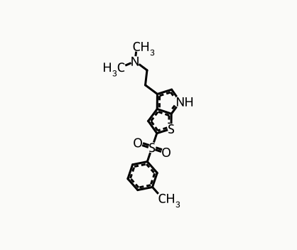 Cc1cccc(S(=O)(=O)c2cc3c(CCN(C)C)c[nH]c3s2)c1